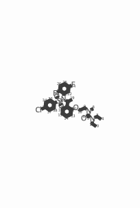 CCN(CC)C(=O)N(C)CCOc1ccccc1C(C)N(c1cc(F)ccc1F)S(=O)(=O)c1ccc(Cl)cc1